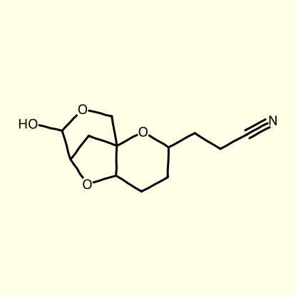 N#CCCC1CCC2OC3CC2(COC3O)O1